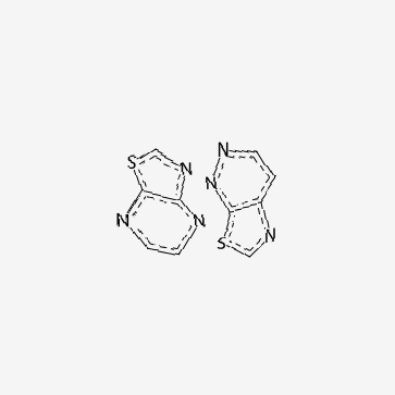 c1cc2ncsc2nn1.c1cnc2scnc2n1